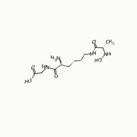 C[C@H](NO)C(=O)NCCCC[C@H](N)C(=O)NCC(=O)O